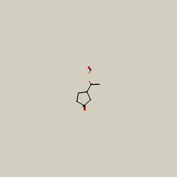 CC(OC=O)C1CCC(=O)C1